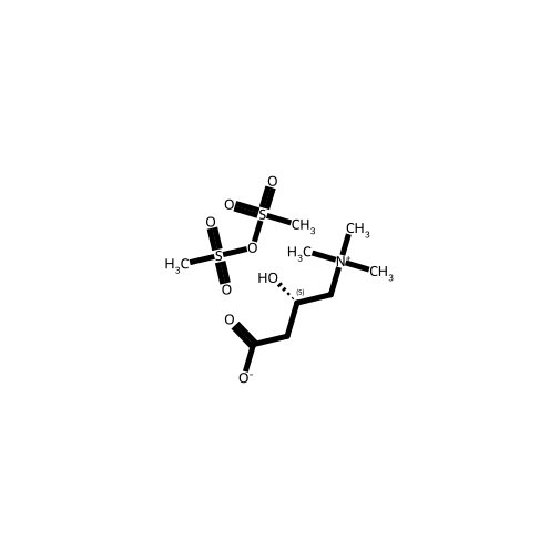 CS(=O)(=O)OS(C)(=O)=O.C[N+](C)(C)C[C@@H](O)CC(=O)[O-]